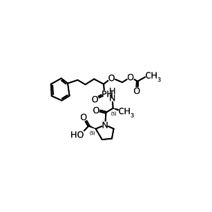 CC(=O)OCOC(CCCc1ccccc1)[PH](=O)N[C@@H](C)C(=O)N1CCC[C@H]1C(=O)O